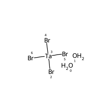 O.O.[Br][Ta]([Br])([Br])[Br]